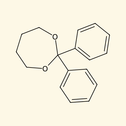 c1ccc(C2(c3ccccc3)OCCCCO2)cc1